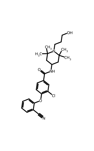 CC1(C)CC(NC(=O)c2ccc(Oc3ccccc3C#N)c(Cl)c2)CC(C)(C)N1CCCO